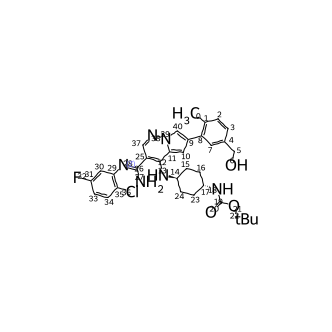 Cc1ccc(CO)cc1-c1cc2c(N[C@H]3CC[C@H](NC(=O)OC(C)(C)C)CC3)c(/C(N)=N/c3cc(F)ccc3Cl)cnn2c1